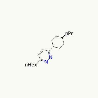 CCCCCCc1ccc([C@H]2CC[C@H](CCC)CC2)nn1